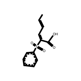 CC=CC=C(C(=O)O)S(=O)(=O)c1ccccc1